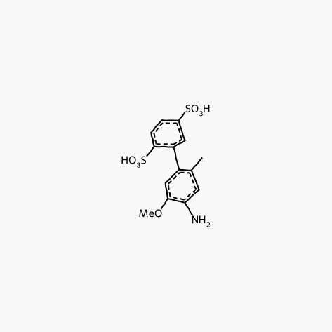 COc1cc(-c2cc(S(=O)(=O)O)ccc2S(=O)(=O)O)c(C)cc1N